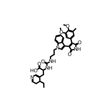 CCC1CC=NC=C1CC(NC(=O)NCCCn1cc(C2=C(c3cc(C)c(OC)c(OC)c3)C(=O)NC2=O)c2ccccc21)C(=O)O